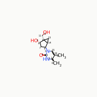 C=C1NC(=O)N([C@H]2C[C@H](O)[C@@]3(CO)CC23)C=C1C